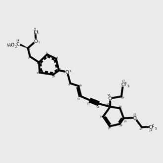 CCO[C@@H](Cc1ccc(OC/C=C/C#CC2(OCC(F)(F)F)C=CC=C(OCC(F)(F)F)C2)cc1)C(=O)O